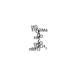 CCCCOC(=O)[C@H](C)NC(=O)CCNC(=O)OCC(OC)OC(CC)CO